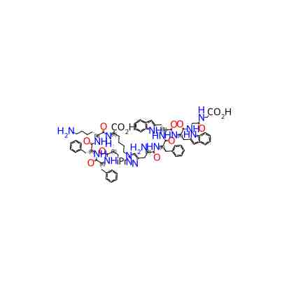 CC(C)C[C@@H](C)C(=O)N[C@H](Cc1ccccc1)C(=O)N[C@H](Cc1ccccc1)C(=O)N[C@H](CCCCN)C(=O)N[C@H](CCCCn1cc(C[C@@H](N)C(=O)N[C@H](Cc2ccccc2)C(=O)N[C@H](Cc2cc3ccccc3[nH]2)C(=O)N[C@H](Cc2cc3ccccc3[nH]2)C(=O)NCC(=O)NCC(=O)O)nn1)C(=O)O